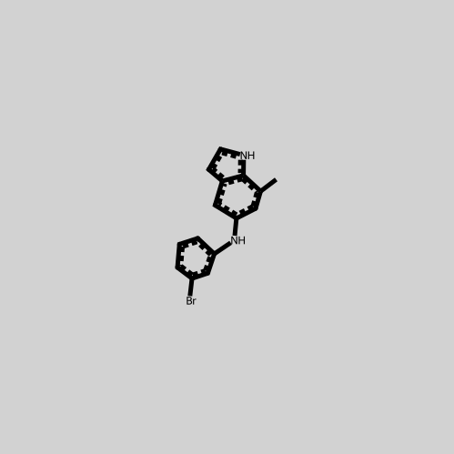 Cc1cc(Nc2cccc(Br)c2)cc2cc[nH]c12